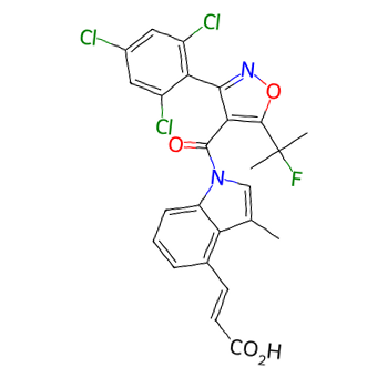 Cc1cn(C(=O)c2c(-c3c(Cl)cc(Cl)cc3Cl)noc2C(C)(C)F)c2cccc(C=CC(=O)O)c12